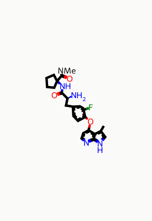 CNC(=O)C1(NC(=O)[C@@H](N)Cc2ccc(Oc3ccnc4[nH]cc(C)c34)c(F)c2)CCCC1